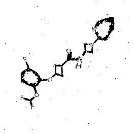 O=C(NC1CN(c2ccccn2)C1)C1CC(Oc2cc(F)ccc2OC(F)F)C1